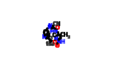 Cc1cc(NC(=O)OC(C)(C)C)nc(C)c1CNC(=O)c1cn(Cc2ccc3ncc(C4CC4)cc3c2)nc1C#N